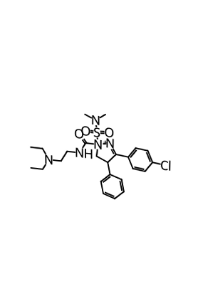 CCN(CC)CCNC(=O)[N+]1(S(=O)(=O)N(C)C)CC(c2ccccc2)C(c2ccc(Cl)cc2)=N1